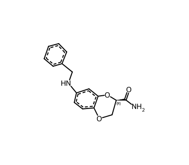 NC(=O)[C@H]1COc2ccc(NCc3ccccc3)cc2O1